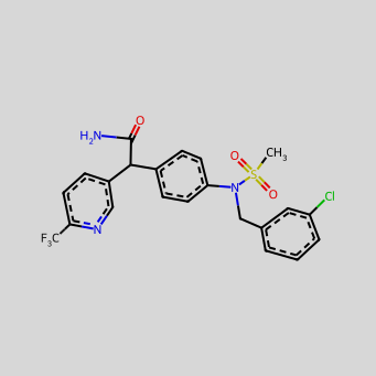 CS(=O)(=O)N(Cc1cccc(Cl)c1)c1ccc(C(C(N)=O)c2ccc(C(F)(F)F)nc2)cc1